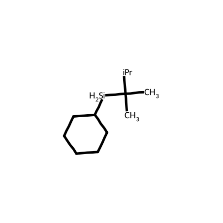 CC(C)C(C)(C)[SiH2]C1CCCCC1